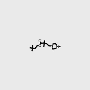 CN1CCN(CCC(C)(C)C(=O)OCCC(C)(C)C)CC1